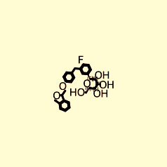 OC[C@H]1O[C@@H](c2ccc(F)c(Cc3ccc(OCC4OCc5ccccc54)cc3)c2)[C@H](O)[C@@H](O)[C@@H]1O